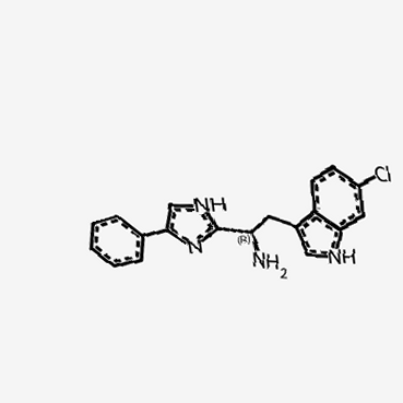 N[C@H](Cc1c[nH]c2cc(Cl)ccc12)c1nc(-c2ccccc2)c[nH]1